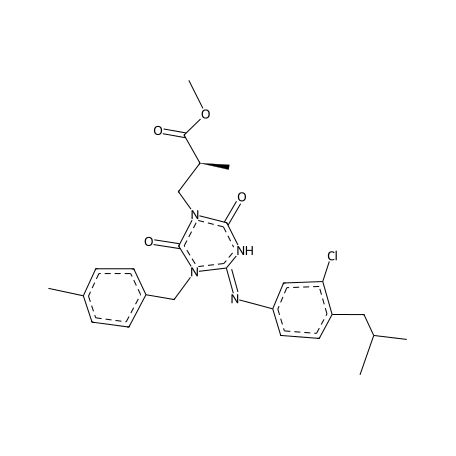 COC(=O)[C@@H](C)Cn1c(=O)[nH]/c(=N\c2ccc(CC(C)C)c(Cl)c2)n(Cc2ccc(C)cc2)c1=O